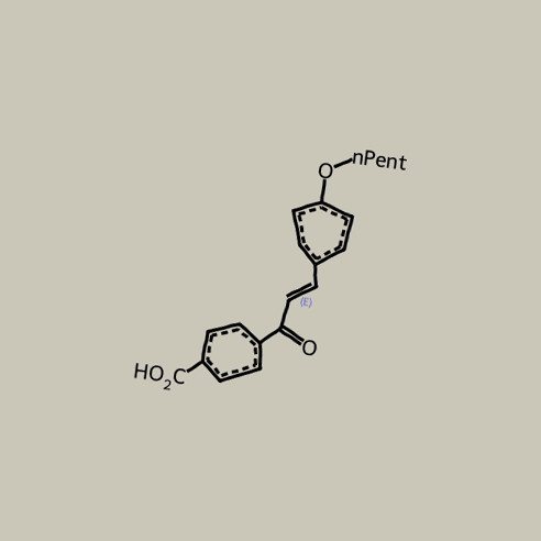 CCCCCOc1ccc(/C=C/C(=O)c2ccc(C(=O)O)cc2)cc1